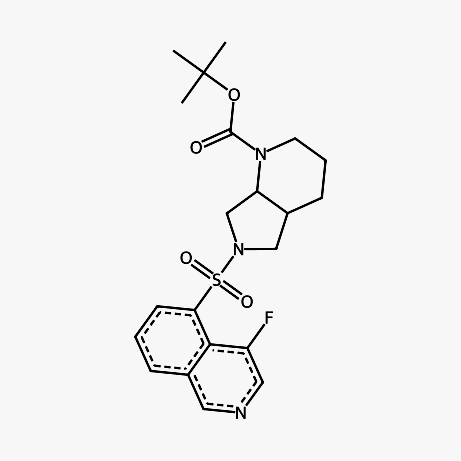 CC(C)(C)OC(=O)N1CCCC2CN(S(=O)(=O)c3cccc4cncc(F)c34)CC21